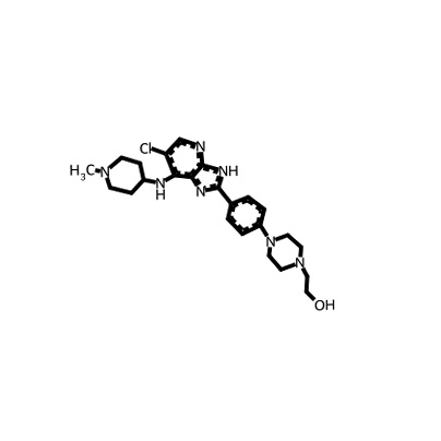 CN1CCC(Nc2c(Cl)cnc3[nH]c(-c4ccc(N5CCN(CCO)CC5)cc4)nc23)CC1